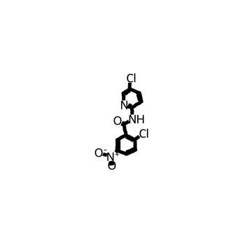 O=C(Nc1ccc(Cl)cn1)c1cc([N+](=O)[O-])ccc1Cl